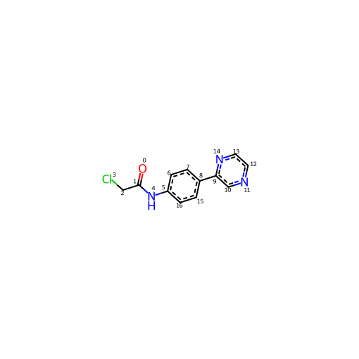 O=C(CCl)Nc1ccc(-c2cnccn2)cc1